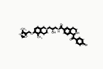 Cc1ncoc1COc1ccc2c(c1C)CCN(C[C@@H](O)CNC(=O)c1ccc3c(c1)CCNC3C(=O)c1ccc(Br)cc1)C2